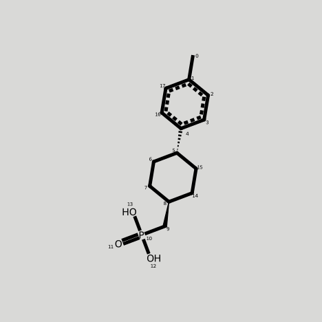 Cc1ccc([C@H]2CC[C@H](CP(=O)(O)O)CC2)cc1